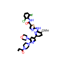 C=CC(=O)N1CCN(c2ncc(-c3ccc(OC)c(Nc4ncc(C(=O)Nc5c(F)cccc5Cl)s4)n3)cc2N2CCOCC2)CC1